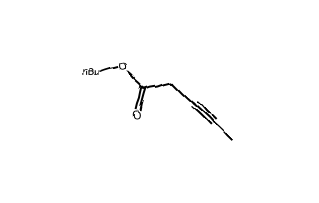 CC#CCC(=O)OCCCC